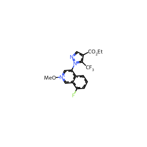 CCOC(=O)c1cnn(-c2c[n+](OC)cc3c(F)cccc23)c1C(F)(F)F